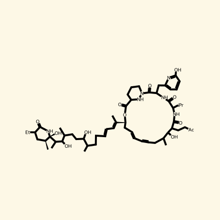 CCC1C[C@H](C)[C@@](O)(C(C)C(O)C(C)CCC(O)C(C)CC/C=C/C=C(\C)[C@@H]2C/C=C/C=C/CC(C)C(O)C(CCC(C)=O)C(=O)NC(C(C)C)C(=O)NC(Cc3cccc(O)n3)C(=O)N3CCCC(N3)C(=O)O2)NC1=O